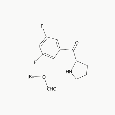 CC(C)(C)OC=O.O=C(c1cc(F)cc(F)c1)C1CCCN1